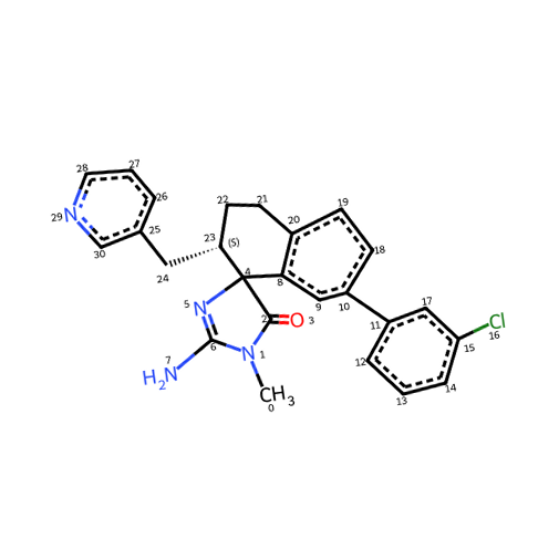 CN1C(=O)C2(N=C1N)c1cc(-c3cccc(Cl)c3)ccc1CC[C@H]2Cc1cccnc1